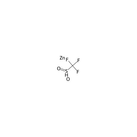 O=[SH](=O)C(F)(F)F.[Zn]